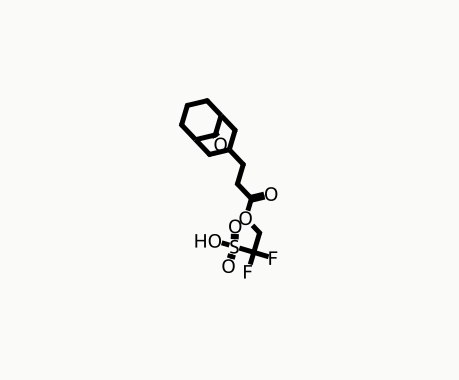 O=C(CCC1CC2CCCC(C1)C2=O)OCC(F)(F)S(=O)(=O)O